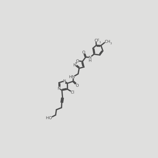 Cc1ccc(NC(=O)c2cc(CNC(=O)c3ncnc(C#CCCCO)c3Cl)no2)cc1C(F)(F)F